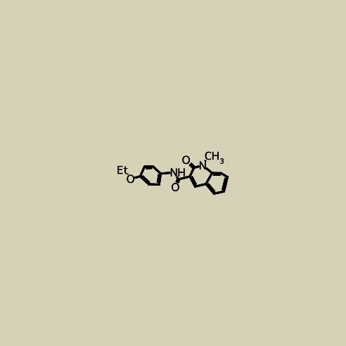 CCOc1ccc(NC(=O)c2cc3ccccc3n(C)c2=O)cc1